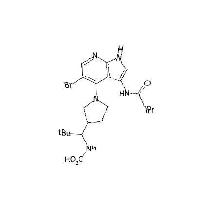 CC(C)C(=O)Nc1c[nH]c2ncc(Br)c(N3CCC(C(NC(=O)O)C(C)(C)C)C3)c12